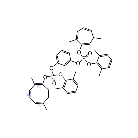 CC1=CC=CC(C)C=C1OP(=O)(Oc1cccc(OP(=O)(O/C2=C(C)/C=C\C=C(\C)CC2)Oc2c(C)cccc2C)c1)Oc1c(C)cccc1C